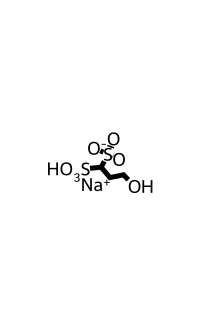 O=S(=O)([O-])C(CCO)S(=O)(=O)O.[Na+]